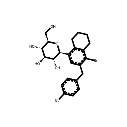 CCc1ccc(Cc2cc([C@@H]3O[C@H](CO)[C@@H](O)[C@H](O)[C@H]3O)c3c(c2Br)CCCC3)cc1